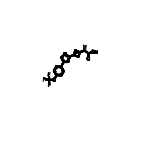 O=C(O)NC12CC(n3cc(-c4ccc(OC(F)(F)F)cc4)cn3)(C1)C2